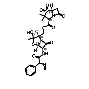 C=NC(C(=O)N[C@@H]1C(=O)N2[C@@H]1SC(C)(C)[C@]2(COC(=O)[C@@H]1N2C(=O)C[C@H]2S(=O)(=O)C1(C)C)C(=O)O)c1ccccc1